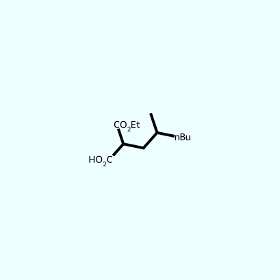 CCCCC(C)CC(C(=O)O)C(=O)OCC